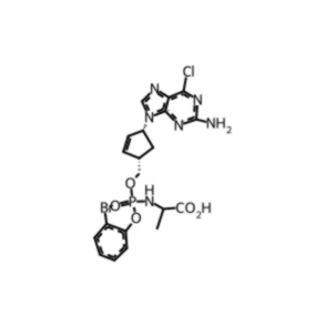 CC(NP(=O)(OC[C@@H]1C=C[C@H](n2cnc3c(Cl)nc(N)nc32)C1)Oc1ccccc1Br)C(=O)O